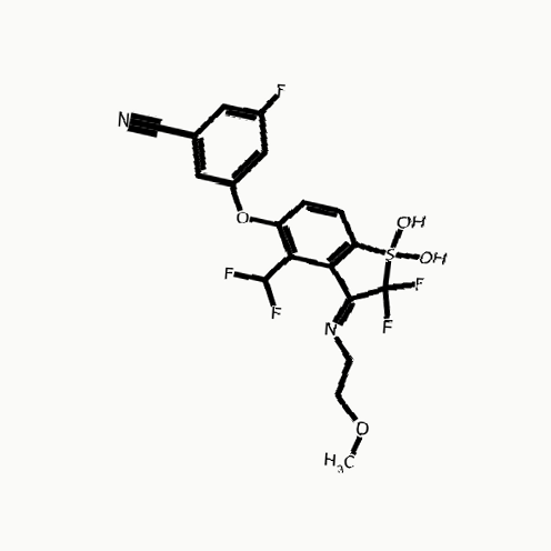 COCCN=C1c2c(ccc(Oc3cc(F)cc(C#N)c3)c2C(F)F)S(O)(O)C1(F)F